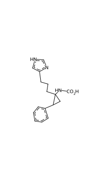 O=C(O)NC1(CCCc2c[nH]cn2)CC1c1ccccc1